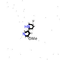 COc1cncc([C@@H]2CC[C@@H](C)CN2)c1